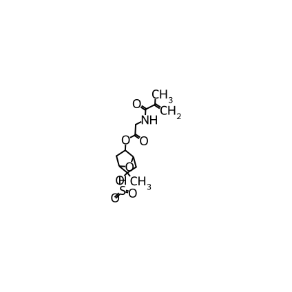 C=C(C)C(=O)NCC(=O)OC1CC2OC1CC2(C)O[SH](=O)=O